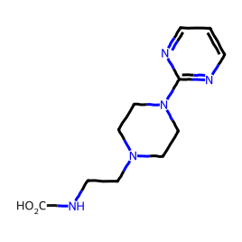 O=C(O)NCCN1CCN(c2ncccn2)CC1